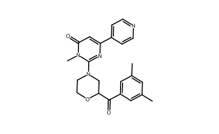 Cc1cc(C)cc(C(=O)C2CN(c3nc(-c4ccncc4)cc(=O)n3C)CCO2)c1